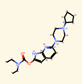 CCN(CC)C(=O)Oc1cc2ccc(N3CCN(C4CCCC4)CC3)nc2[nH]1